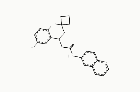 O=C(CC1CC2(CCC2)Oc2ccc(F)cc21)Nc1ccc2ncccc2c1